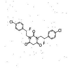 O=C1CC(=O)N(C[C@@H](F)c2ccc(Cl)cc2)C(=O)N1C[C@@H](F)c1ccc(Cl)cc1